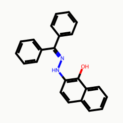 Oc1c(NN=C(c2ccccc2)c2ccccc2)ccc2ccccc12